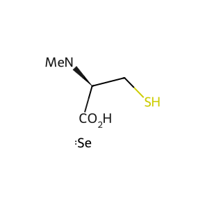 CN[C@@H](CS)C(=O)O.[Se]